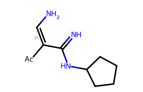 CC(=O)/C(=C/N)C(=N)NC1CCCC1